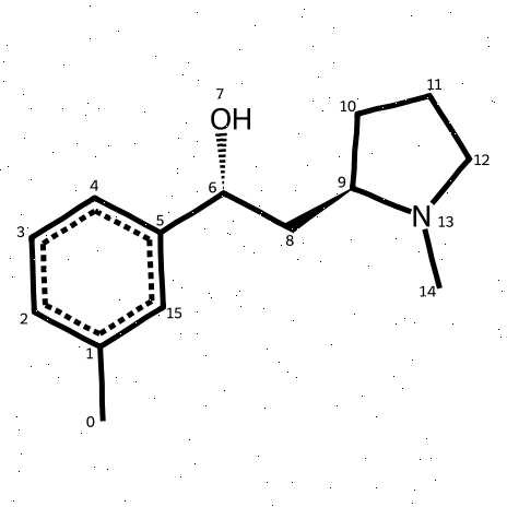 Cc1cccc([C@H](O)C[C@H]2CCCN2C)c1